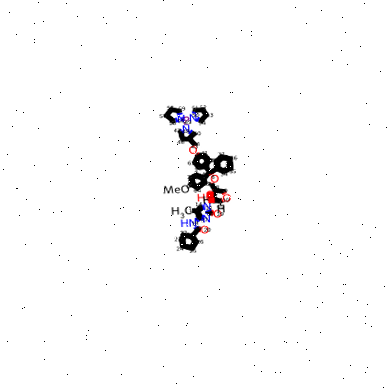 COc1ccc(C(OCC23CO[C@@H]([C@H](n4cc(C)c(NC(=O)c5ccccc5)nc4=O)O2)[C@@H]3O)(c2ccccc2)c2ccc(OCC3CCN(P(N4CCCC4)N4CCCC4)C3)cc2)cc1